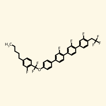 CCCCCc1ccc(C(F)(F)Oc2ccc(-c3ccc(-c4ccc(-c5ccc(CC(F)(F)F)c(F)c5)c(F)c4)c(F)c3)cc2)c(F)c1